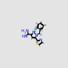 N=C(N)c1cc(-c2nccs2)n(Cc2ccccc2F)n1